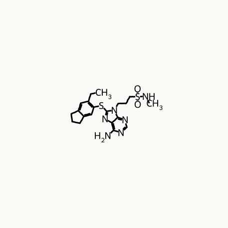 CCc1cc2c(cc1Sc1nc3c(N)ncnc3n1CCCS(=O)(=O)NC)CCC2